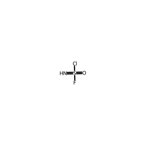 N=S(=O)(F)Cl